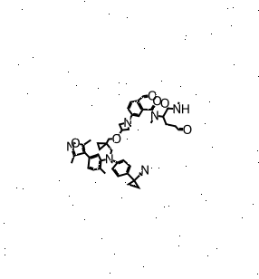 CNC(=O)C(CCC=O)N(C)C(=O)c1cc(N2CC(OCC3(CN(c4ccc(C5(C#N)CC5)cc4)c4cc(-c5c(C)noc5C)ccc4C)CC3)C2)ccc1C=O